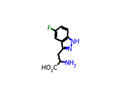 NC(Cc1n[nH]c2ccc(F)cc12)C(=O)O